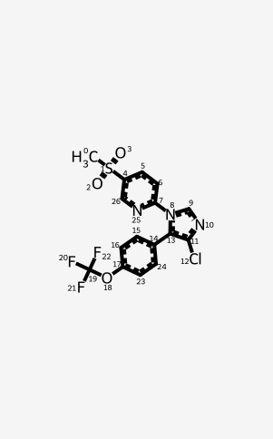 CS(=O)(=O)c1ccc(-n2cnc(Cl)c2-c2ccc(OC(F)(F)F)cc2)nc1